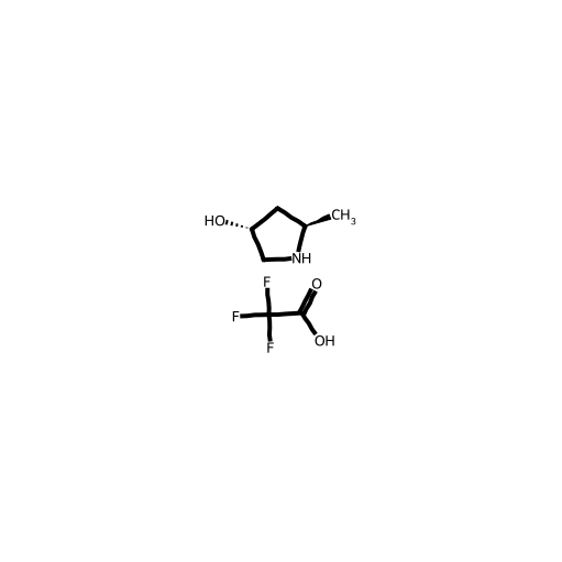 C[C@@H]1C[C@@H](O)CN1.O=C(O)C(F)(F)F